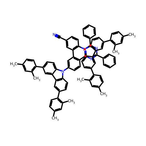 Cc1ccc(-c2ccc3c(c2)c2cc(-c4ccc(C)cc4C)ccc2n3-c2ccc(-c3nc(-c4ccccc4)nc(-c4ccccc4)n3)c(-c3cc(C#N)ccc3-n3c4ccc(-c5ccc(C)cc5C)cc4c4cc(-c5ccc(C)cc5C)ccc43)c2)c(C)c1